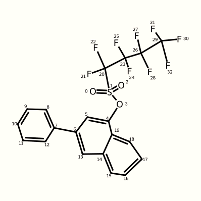 O=S(=O)(Oc1cc(-c2ccccc2)cc2ccccc12)C(F)(F)C(F)(F)C(F)(F)C(F)(F)F